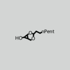 CCCCCCCC1OCC2C(O)C2O1